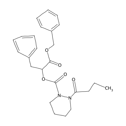 CCCC(=O)N1CCCCN1C(=O)OC(Cc1ccccc1)C(=O)OCc1ccccc1